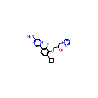 Nc1cnc(-c2ccc(C3CCC3)c(OCC(O)Cn3cncn3)c2F)cn1